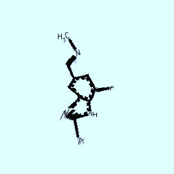 C/N=C/c1cc(F)c2[nH]c(C(C)C)nc2c1